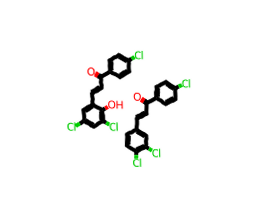 O=C(C=Cc1cc(Cl)cc(Cl)c1O)c1ccc(Cl)cc1.O=C(C=Cc1ccc(Cl)c(Cl)c1)c1ccc(Cl)cc1